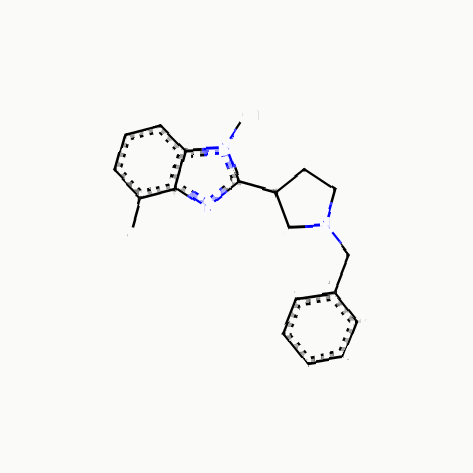 Cc1cccc2c1nc(C1CCN(Cc3ccccc3)C1)n2C